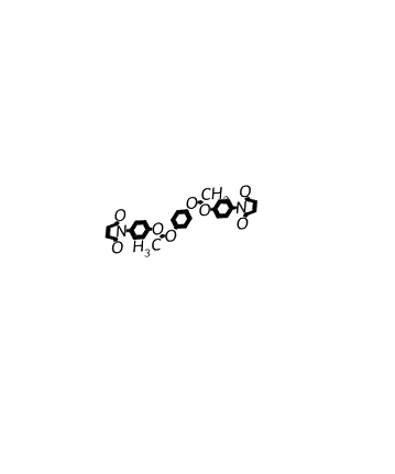 CC(Oc1ccc(OC(C)Oc2ccc(N3C(=O)C=CC3=O)cc2)cc1)Oc1ccc(N2C(=O)C=CC2=O)cc1